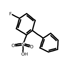 O=S(=O)(O)c1cc(F)ccc1-c1ccccc1